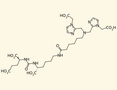 O=C(O)CC[C@H](NC(=O)N[C@H](CCCCNC(=O)CCCCCN(Cc1nccn1CC(=O)O)Cc1nccn1CC(=O)O)C(=O)O)C(=O)O